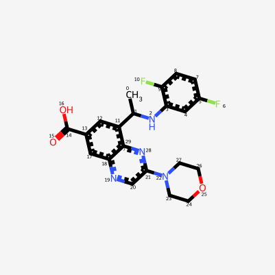 CC(Nc1cc(F)ccc1F)c1cc(C(=O)O)cc2ncc(N3CCOCC3)nc12